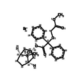 COC(=O)COC(C(=O)O[C@@H]1C[C@H]2CC[C@@H](C1)[N+]2(C)C)(c1ccccc1)c1ccccc1.[Br-]